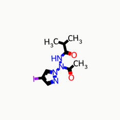 CC(=O)N(NC(=O)C(C)C)n1cc(I)cn1